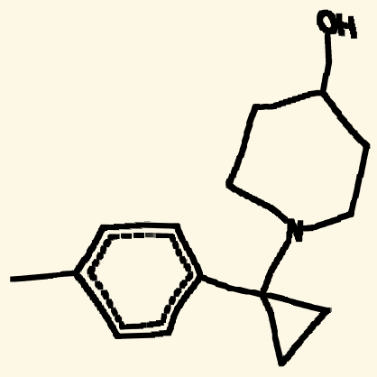 Cc1ccc(C2(N3CCC(O)CC3)CC2)cc1